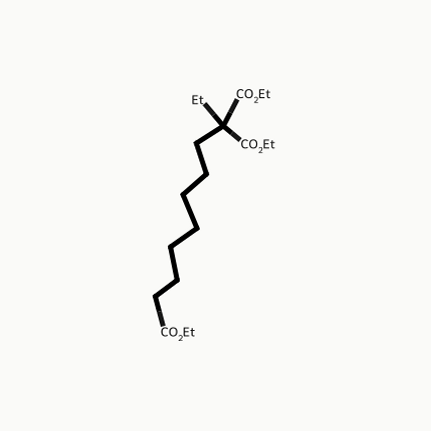 CCOC(=O)CCCCCCCC(CC)(C(=O)OCC)C(=O)OCC